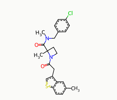 Cc1ccc2scc(CC(=O)N3CCC3(C)C(=O)N(C)Cc3ccc(Cl)cc3)c2c1